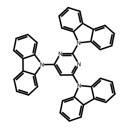 c1ccc2c(c1)c1ccccc1n2-c1cc(-n2c3ccccc3c3ccccc32)nc(-n2c3ccccc3c3ccccc32)n1